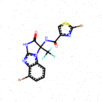 O=C(NC1(C(F)(F)F)C(=O)Nc2nc3c(Br)cccc3n21)c1csc(Br)n1